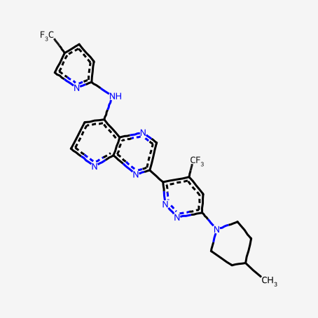 CC1CCN(c2cc(C(F)(F)F)c(-c3cnc4c(Nc5ccc(C(F)(F)F)cn5)ccnc4n3)nn2)CC1